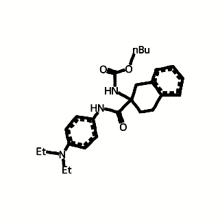 CCCCOC(=O)NC1(C(=O)Nc2ccc(N(CC)CC)cc2)CCc2ccccc2C1